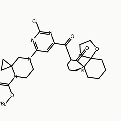 CC(C)(C)OC(=O)N1CCN(c2cc(C(=O)C3CCC[C@@]4(CCCCC45OCCO5)C3=O)nc(Cl)n2)CC12CC2